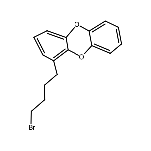 BrCCCCc1cccc2c1Oc1ccccc1O2